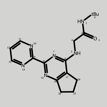 CC(C)(C)NC(=O)CNc1nc(-c2ncccn2)nc2c1CCC2